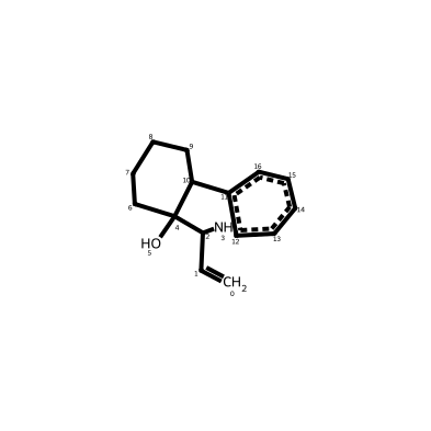 C=CC(N)C1(O)CCCCC1c1ccccc1